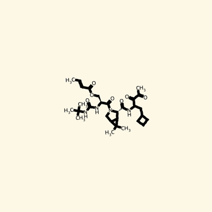 C/C=C/C(=O)OC[C@H](NC(=O)NC(C)(C)C)C(=O)N1CC2C([C@H]1C(=O)NC(CC1CCC1)C(=O)C(C)=O)C2(C)C